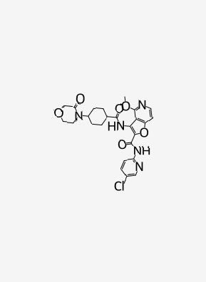 COc1nccc2oc(C(=O)Nc3ccc(Cl)cn3)c(NC(=O)C3CCC(N4CCOCC4=O)CC3)c12